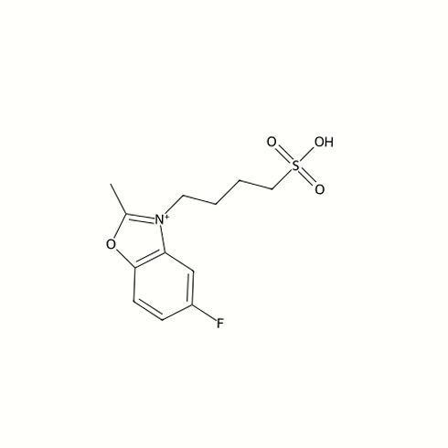 Cc1oc2ccc(F)cc2[n+]1CCCCS(=O)(=O)O